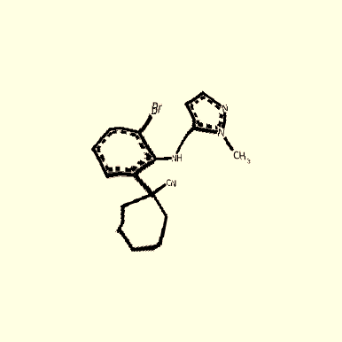 Cn1nccc1Nc1c(Br)cccc1C1(C#N)CCCCC1